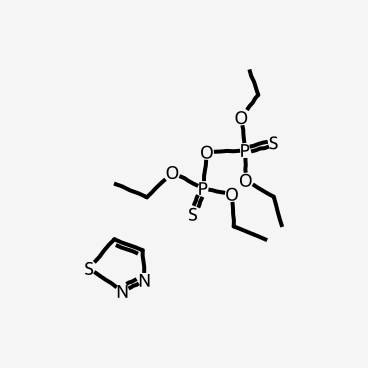 CCOP(=S)(OCC)OP(=S)(OCC)OCC.c1csnn1